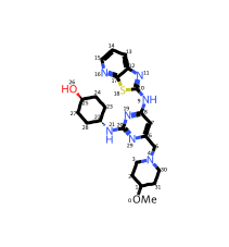 COC1CCN(Cc2cc(Nc3nc4cccnc4s3)nc(N[C@H]3CC[C@H](O)CC3)n2)CC1